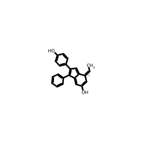 C/C=c1/cc(O)cc2c1=CC(c1ccc(O)cc1)=C2c1ccccc1